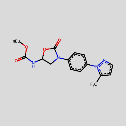 CCCCOC(=O)NC1CN(c2ccc(-n3nccc3C(F)(F)F)cc2)C(=O)O1